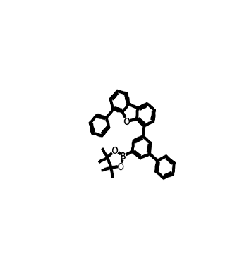 CC1(C)OB(c2cc(-c3ccccc3)cc(-c3cccc4c3oc3c(-c5ccccc5)cccc34)c2)OC1(C)C